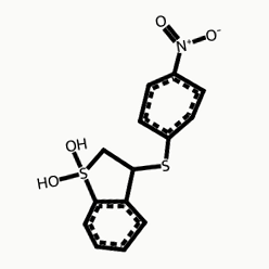 O=[N+]([O-])c1ccc(SC2CS(O)(O)c3ccccc32)cc1